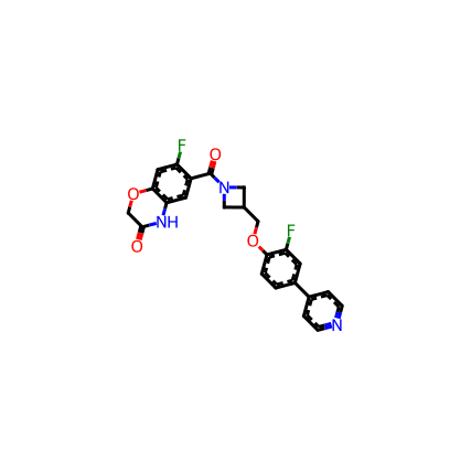 O=C1COc2cc(F)c(C(=O)N3CC(COc4ccc(-c5ccncc5)cc4F)C3)cc2N1